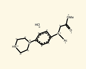 COC(=O)CN(C(C)=O)c1ccc(N2CCNCC2)cc1.Cl